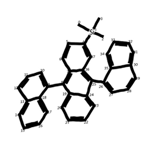 C[Si](C)(C)c1ccc2c(-c3cccc4ccccc34)c3ccccc3c(-c3cccc4ccccc34)c2c1